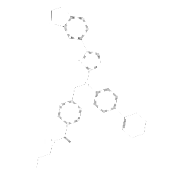 O=C(O)CCNC(=O)c1ccc(CN(c2ccc(C3=CCCCC3)cc2)c2nc(-c3ccc4c(c3)OCO4)cs2)cc1